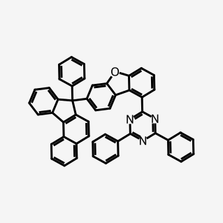 c1ccc(-c2nc(-c3ccccc3)nc(-c3cccc4oc5cc(C6(c7ccccc7)c7ccccc7-c7c6ccc6ccccc76)ccc5c34)n2)cc1